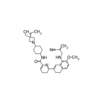 C=C(C#N)CNc1c(OC)ccc2c1C=C(C1=NC(C(=O)NC3CCC(N4CC(CC)(CC)C4)CC3)=CCC1)CC2